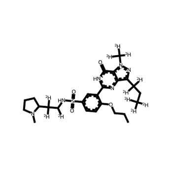 [2H]C(NS(=O)(=O)c1ccc(OCCC)c(-c2nc3c(C([2H])([2H])CC([2H])([2H])[2H])nn(C([2H])([2H])[2H])c3c(=O)[nH]2)c1)C([2H])([2H])C1CCCN1C